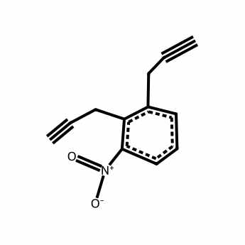 C#CCc1cccc([N+](=O)[O-])c1CC#C